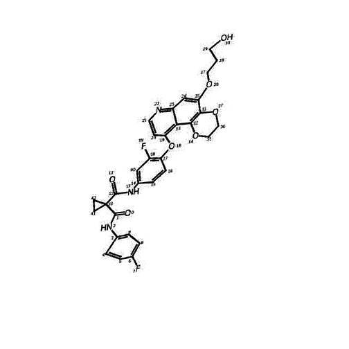 O=C(Nc1ccc(F)cc1)C1(C(=O)Nc2ccc(Oc3ccnc4cc(OCCCO)c5c(c34)OCCO5)c(F)c2)CC1